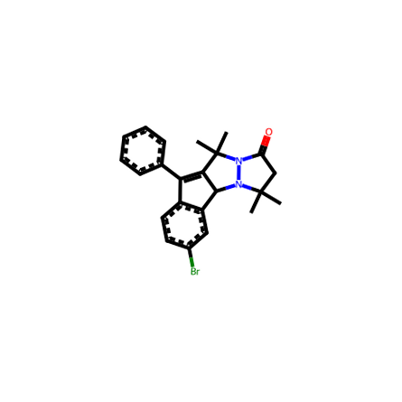 CC1(C)CC(=O)N2N1C1C(=C(c3ccccc3)c3ccc(Br)cc31)C2(C)C